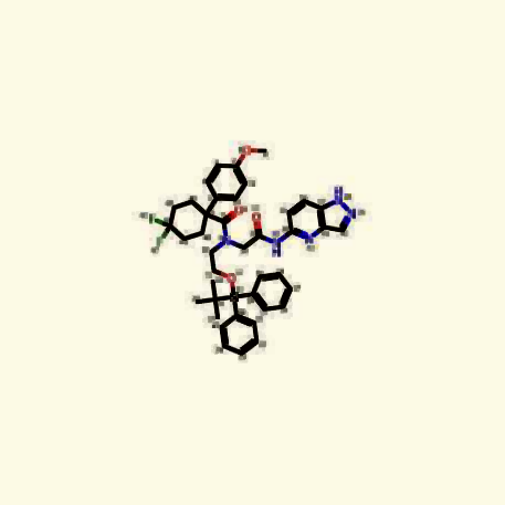 COc1ccc(C2(C(=O)N(CCO[Si](c3ccccc3)(c3ccccc3)C(C)(C)C)CC(=O)Nc3ccc4[nH]ncc4n3)CCC(F)(F)CC2)cc1